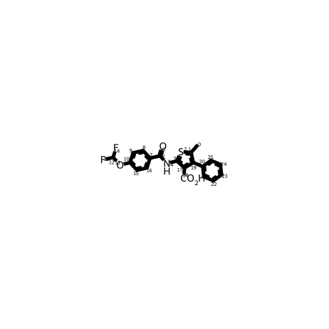 Cc1sc(NC(=O)c2ccc(OC(F)F)cc2)c(C(=O)O)c1-c1ccccc1